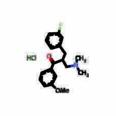 COc1cccc(C(=O)C(Cc2cccc(F)c2)CN(C)C)c1.Cl